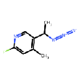 Cc1cc(F)ncc1C(C)N=[N+]=[N-]